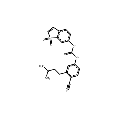 CN(C)CCc1cc(NC(=O)Nc2ccc3c(c2)S(=O)(=O)C=C3)ccc1C#N